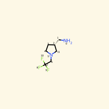 NC[C@H]1CCN(CC(F)(F)F)C1